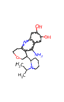 CC(C)N1CCCCC1C1COCCc2nc3cc(O)c(O)cc3c(N)c21